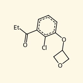 CCC(=O)c1cccc(OC2COC2)c1Cl